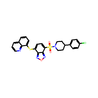 O=S(=O)(c1ccc(Sc2cccc3cccnc23)c2nonc12)N1CCC(c2ccc(Cl)cc2)CC1